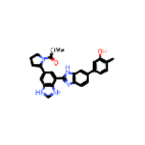 COC(=O)N1CCCC1c1cc2c(c(-c3nc4ccc(-c5ccc(C)c(O)c5)cc4[nH]3)c1)NCN2